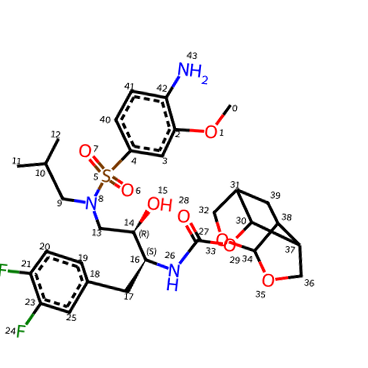 COc1cc(S(=O)(=O)N(CC(C)C)C[C@@H](O)[C@H](Cc2ccc(F)c(F)c2)NC(=O)OC2C3COC4OCC2C4C3)ccc1N